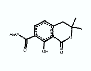 COC(=O)c1ccc2c(c1O)C(=O)OC(C)(C)C2